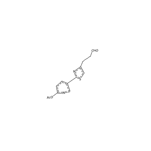 CC(=O)Oc1ccc(-c2nc(CCC=O)cs2)cn1